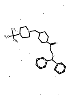 CC(C)(C)N1CCN(CC2CCN(C(=O)COC(c3ccccc3)c3ccccc3)CC2)CC1